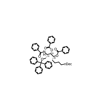 CCCCCCCCCCCCCC[C@@H](OC(=O)c1ccccc1)[C@@H](OC(=O)c1ccccc1)[C@H](COC(c1ccccc1)(c1ccccc1)c1ccccc1)NC(=O)c1ccccc1